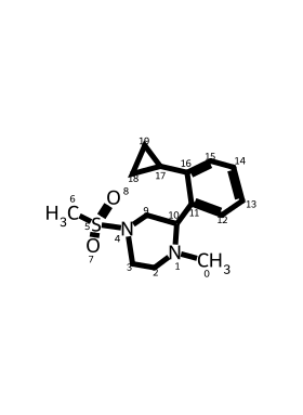 CN1CCN(S(C)(=O)=O)CC1c1ccccc1C1CC1